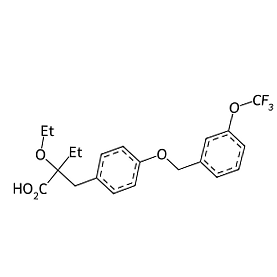 CCOC(CC)(Cc1ccc(OCc2cccc(OC(F)(F)F)c2)cc1)C(=O)O